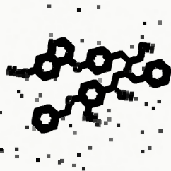 COc1ccc2c(Oc3ccc(C[C@@H](CO)N(Cc4ccccc4)C[C@H](O)c4ccc(OCc5ccccc5)c(N)c4)cc3)ccnc2c1